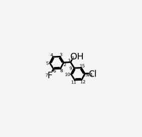 OC(c1cccc(F)c1)c1cccc(Cl)c1